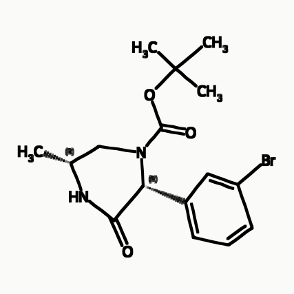 C[C@@H]1CN(C(=O)OC(C)(C)C)[C@H](c2cccc(Br)c2)C(=O)N1